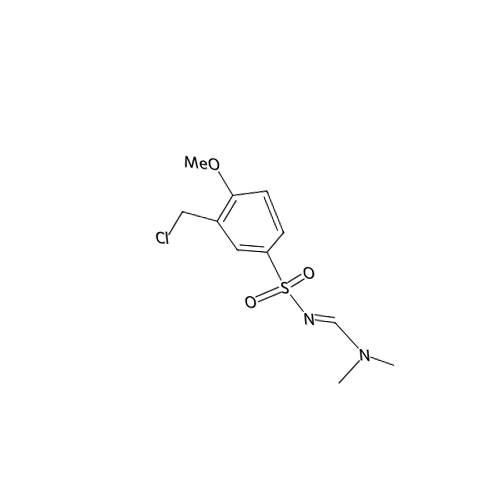 COc1ccc(S(=O)(=O)N=CN(C)C)cc1CCl